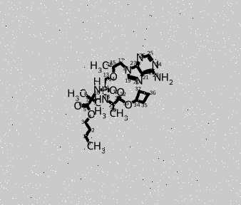 CCCCOC(=O)C(C)(C)N[P@@](=O)(CO[C@H](C)Cn1cnc2c(N)ncnc21)N[C@H](C)C(=O)OC1CCC1